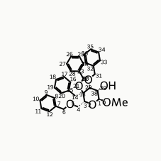 CO[C@H]1O[C@H](COCc2ccccc2)[C@@](Cc2ccccc2)(OCc2ccccc2)[C@H](OCc2ccccc2)[C@@H]1O